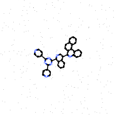 c1ccc2c(c1)ccc1c(-c3cnc(-c4nc(-c5ccncc5)nc(-c5ccncc5)n4)c4ccccc34)nc3ccccc3c12